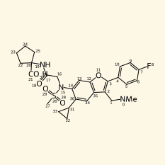 CNCc1c(-c2ccc(F)cc2)oc2cc(N(CC(=O)NC3(C(=O)O)CCCC3)S(C)(=O)=O)c(C3CC3)cc12